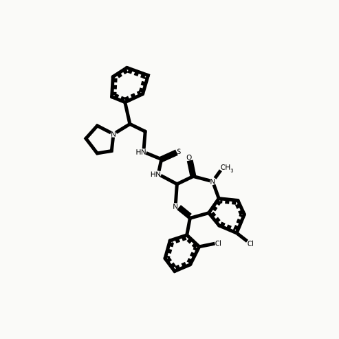 CN1C(=O)C(NC(=S)NCC(c2ccccc2)N2CCCC2)N=C(c2ccccc2Cl)c2cc(Cl)ccc21